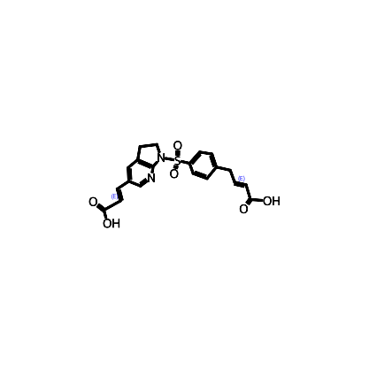 O=C(O)/C=C/Cc1ccc(S(=O)(=O)N2CCc3cc(/C=C/C(=O)O)cnc32)cc1